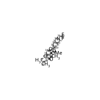 CO[C@H]1C([C@@]2(C)O[C@@H]2CC=C(C)C)[C@]2(CC[C@H]1OC(=O)N1CCC3(CCN(CC(F)F)CC3)CC1)CO2